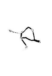 CCN1C(=S)OC[C@H]1C(C)C